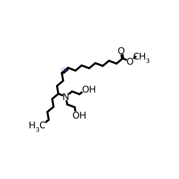 CCCCCC(CC/C=C\CCCCCCCC(=O)OC)N(CCO)CCO